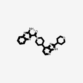 Nc1nc2ccccc2nc1C(=O)N1CCC(c2ccnc3[nH]c(C4CCOCC4)nc23)CC1